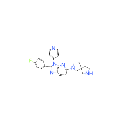 Fc1ccc(-c2nc3ccc(N4CCC5(CCNC5)C4)nc3n2-c2ccncc2)cc1